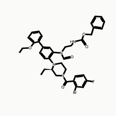 CCOc1ccccc1-c1ccc(N2CCN(C(=O)c3ccc(F)cc3Br)C[C@H]2CC)c(N(C=O)CCNC(=O)OCc2ccccc2)c1